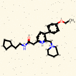 CCOc1ccc(-c2ccc(CC(=O)NCCC3CCCC3)nc2CN2CCCCC2)cc1